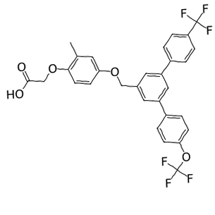 Cc1cc(OCc2cc(-c3ccc(OC(F)(F)F)cc3)cc(-c3ccc(C(F)(F)F)cc3)c2)ccc1OCC(=O)O